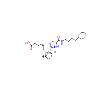 O=C(O)CC/C=C\C[C@@H]1[C@H](C2=NCC(C(=O)NCCCCC3CCCCC3)N2)[C@H]2CC[C@@H]1O2